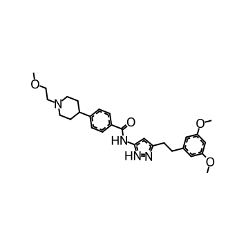 COCCN1CCC(c2ccc(C(=O)Nc3cc(CCc4cc(OC)cc(OC)c4)n[nH]3)cc2)CC1